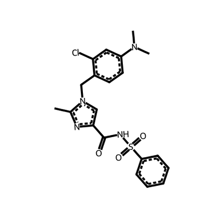 Cc1nc(C(=O)NS(=O)(=O)c2ccccc2)cn1Cc1ccc(N(C)C)cc1Cl